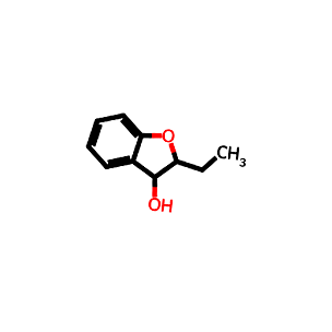 CCC1Oc2ccccc2C1O